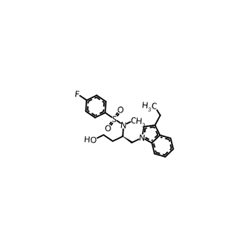 CCc1cn(C[C@@H](CCO)N(C)S(=O)(=O)c2ccc(F)cc2)c2ccccc12